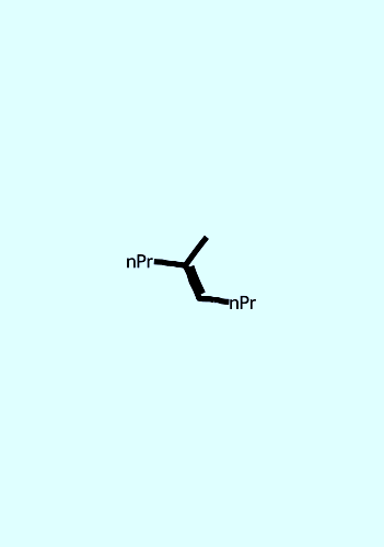 CCC/C=C(\C)CCC